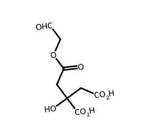 O=CCOC(=O)CC(O)(CC(=O)O)C(=O)O